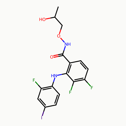 CC(O)CONC(=O)c1ccc(F)c(F)c1Nc1ccc(I)cc1F